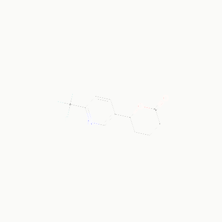 O=C1CCCC(c2ccc(C(F)(F)F)nc2)O1